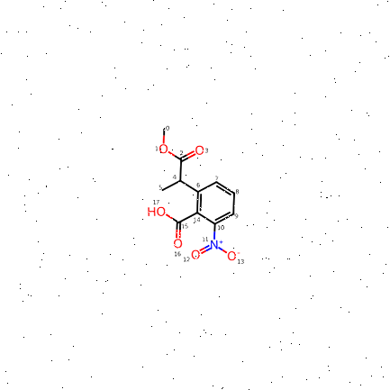 COC(=O)C(C)c1cccc([N+](=O)[O-])c1C(=O)O